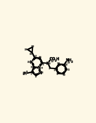 CC(C)c1cnn2c(N(Cc3cccc(N)c3)C(=O)O)cc(C3CC3)nc12